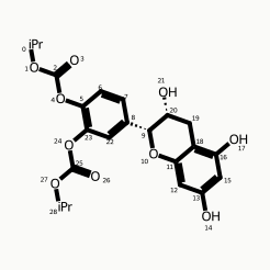 CC(C)OC(=O)Oc1ccc([C@H]2Oc3cc(O)cc(O)c3C[C@H]2O)cc1OC(=O)OC(C)C